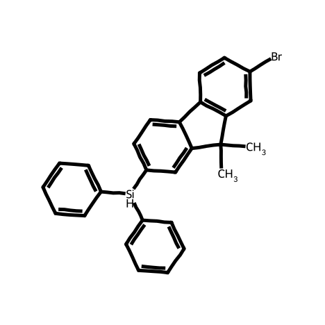 CC1(C)c2cc(Br)ccc2-c2ccc([SiH](c3ccccc3)c3ccccc3)cc21